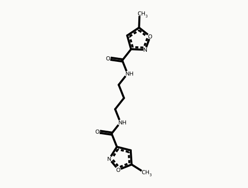 Cc1cc(C(=O)NCCCNC(=O)c2cc(C)on2)no1